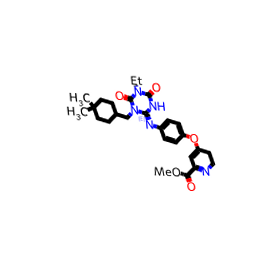 CCn1c(=O)[nH]/c(=N\c2ccc(OC3=CC(C(=O)OC)=NCC3)cc2)n(CC2CCC(C)(C)CC2)c1=O